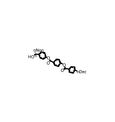 CCCCCCCCCCc1ccc(C(=O)Oc2ccc(C(=O)Oc3ccc([C@H](O)CCCCCCCCC)cc3)cc2)cc1